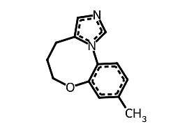 Cc1ccc2c(c1)OCCCc1cncn1-2